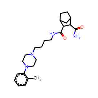 Cc1ccccc1N1CCN(CCCCNC(=O)C2C3CCC(C3)C2C(N)=O)CC1